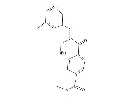 Cc1cccc(C=C(OC(C)(C)C)C(=O)c2ccc(C(=O)N(C)C)cc2)c1